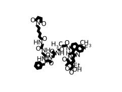 CC[C@@]1(O)C(=O)OCc2c1cc1n(c2=O)CC2=C3C4=C(CC[C@@H]3NC(=O)[C@@H](C)OCNC(=O)CNC(=O)[C@H](Cc3ccccc3)NC(=O)CNC(=O)CNC(=O)CCCCCN3C(=O)C=CC3=O)C(C)=C(F)CC4N=C21